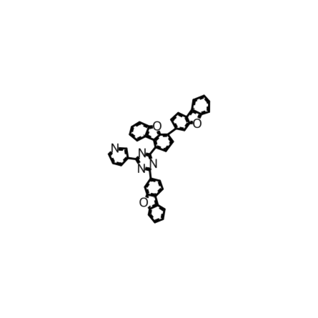 c1cncc(-c2nc(-c3ccc4c(c3)oc3ccccc34)nc(-c3ccc(-c4ccc5c(c4)oc4ccccc45)c4oc5ccccc5c34)n2)c1